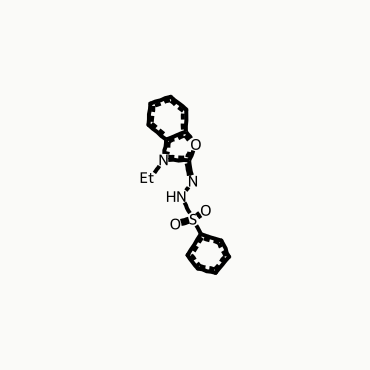 CCn1c(=NNS(=O)(=O)c2ccccc2)oc2ccccc21